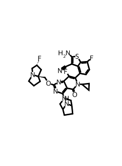 N#Cc1c(N)sc2c(F)ccc(-c3c(F)c4nc(OC[C@@]56CCCN5C[C@H](F)C6)nc(N5CC6CCC(C5)N6)c4c(=O)n3C3CC3)c12